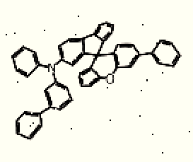 c1ccc(-c2cccc(N(c3ccccc3)c3ccc4c(c3)C3(c5ccccc5Oc5cc(-c6ccccc6)ccc53)c3ccccc3-4)c2)cc1